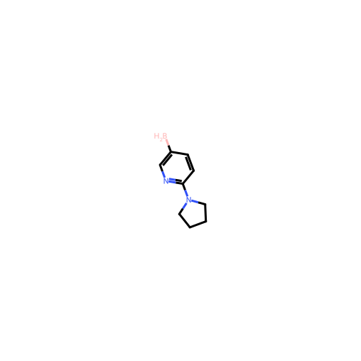 Bc1ccc(N2CCCC2)nc1